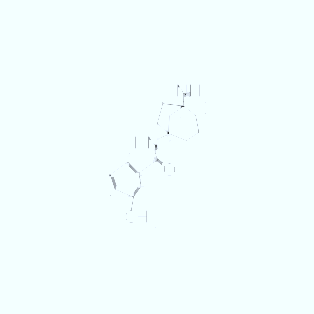 Cc1cccc(C(=O)NC23CCCC(N)(CC2)C3)c1